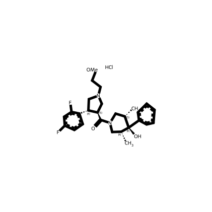 COCCN1C[C@@H](C(=O)N2C[C@@H](C)[C@@](O)(c3ccccc3)[C@@H](C)C2)[C@H](c2ccc(F)cc2F)C1.Cl